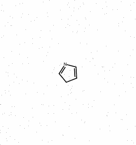 C1=CN=CC1